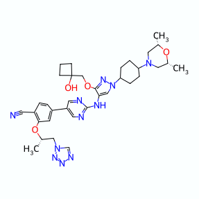 C[C@@H]1CN(C2CCC(n3cc(Nc4ncc(-c5ccc(C#N)c(O[C@@H](C)Cn6cnnn6)c5)cn4)c(OCC4(O)CCC4)n3)CC2)C[C@H](C)O1